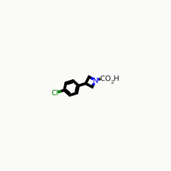 O=C(O)N1CC(c2ccc(Cl)cc2)C1